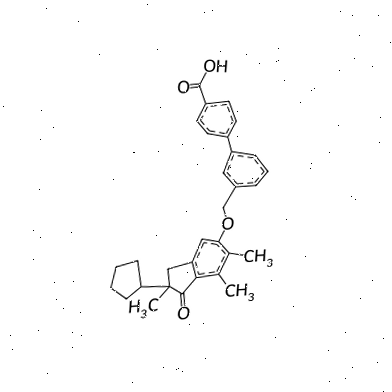 Cc1c(OCc2cccc(-c3ccc(C(=O)O)cc3)c2)cc2c(c1C)C(=O)C(C)(C1CCCC1)C2